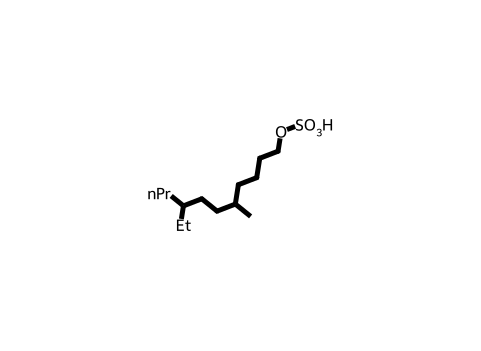 CCCC(CC)CCC(C)CCCCOS(=O)(=O)O